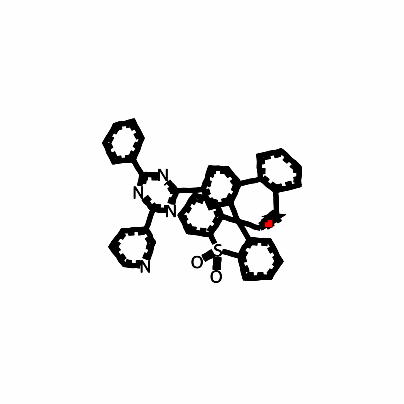 O=S1(=O)c2ccccc2C2(c3ccccc3-c3ccccc3-c3ccc(-c4nc(-c5ccccc5)nc(-c5cccnc5)n4)cc32)c2ccccc21